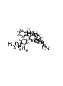 CN(C)c1ccc([C@H]2C[C@]3(C)[C@@H](CC[C@]3(O)CCCO)[C@@H]3CCC4=CCCCC4=C32)cc1